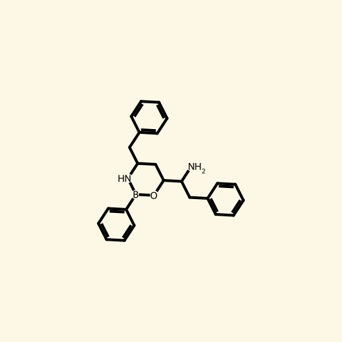 NC(Cc1ccccc1)C1CC(Cc2ccccc2)NB(c2ccccc2)O1